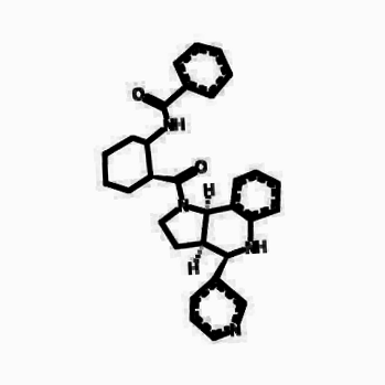 O=C(NC1CCCC[C@@H]1C(=O)N1CC[C@@H]2[C@H](c3cccnc3)Nc3ccccc3[C@@H]21)c1ccccc1